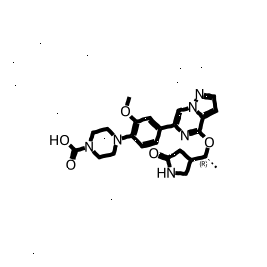 COc1cc(-c2cn3nccc3c(O[C@H](C)C3CNC(=O)C3)n2)ccc1N1CCN(C(=O)O)CC1